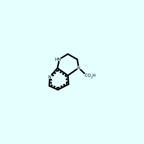 O=C(O)N1CCNc2ncccc21